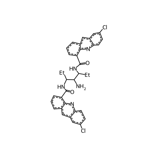 CCC(NC(=O)c1cccc2cc3cc(Cl)ccc3nc12)C(N)C(CC)NC(=O)c1cccc2cc3cc(Cl)ccc3nc12